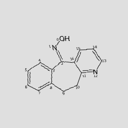 ON=C1c2ccccc2CCc2ncccc21